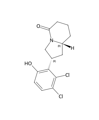 O=C1CCC[C@@H]2C[C@H](c3c(O)ccc(Cl)c3Cl)CN12